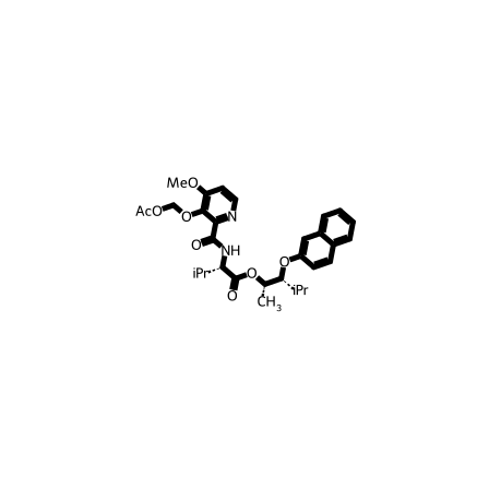 COc1ccnc(C(=O)N[C@H](C(=O)O[C@@H](C)[C@H](Oc2ccc3ccccc3c2)C(C)C)C(C)C)c1OCOC(C)=O